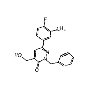 Cc1cc(-c2cc(CO)c(=O)n(Cc3ccccc3)n2)ccc1F